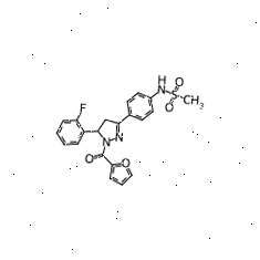 CS(=O)(=O)Nc1ccc(C2=NN(C(=O)c3ccco3)C(c3ccccc3F)C2)cc1